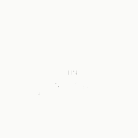 CCn1c(Br)ccc1C(=O)NCc1c(F)cccc1Cl